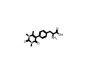 Cc1c(-c2ccc(CC(N)C(=O)O)cc2)c(=O)n(C)c(=O)n1C